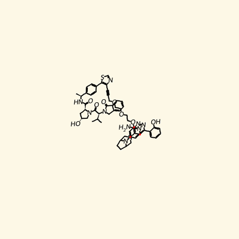 CC(C)[C@@H](C(=O)N1C[C@H](O)C[C@H]1C(=O)N[C@@H](C)c1ccc(-c2scnc2C#CCOCCOCCOc2cc(N3C4CCC3CN(c3cc(-c5ccccc5O)nnc3N)C4)ccn2)cc1)N1Cc2ccccc2C1=O